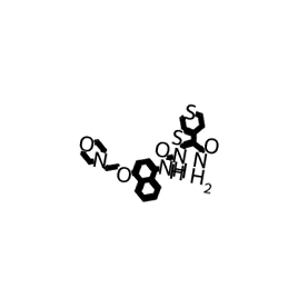 NC(=O)c1c(NC(=O)Nc2ccc(OCCN3CCOCC3)c3ccccc23)sc2c1CCSC2